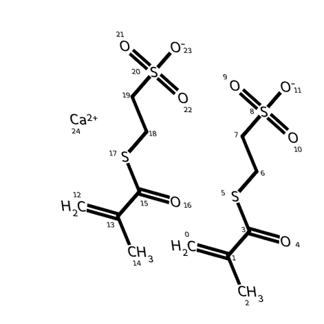 C=C(C)C(=O)SCCS(=O)(=O)[O-].C=C(C)C(=O)SCCS(=O)(=O)[O-].[Ca+2]